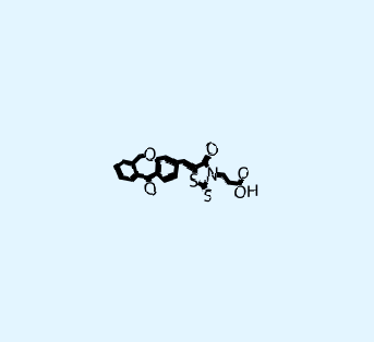 O=C(O)CCN1C(=O)/C(=C/c2ccc3c(c2)OCc2ccccc2C3=O)SC1=S